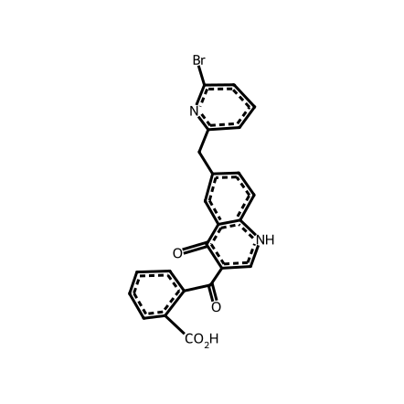 O=C(O)c1ccccc1C(=O)c1c[nH]c2ccc(Cc3cccc(Br)n3)cc2c1=O